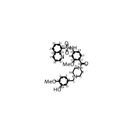 COc1ccc(CN2CCN(C(=O)c3ccc(NS(=O)(=O)c4cccc5cccnc45)cc3OC)CC2)cc1O